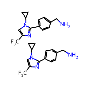 NCc1ccc(-c2nc(C(F)(F)F)cn2C2CC2)cc1.NCc1ccc(-c2nc(C(F)(F)F)cn2C2CC2)cc1